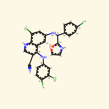 N#Cc1cnc2c(Cl)cc(NC(c3ccc(F)cc3)c3ncco3)cc2c1Nc1ccc(F)c(Cl)c1